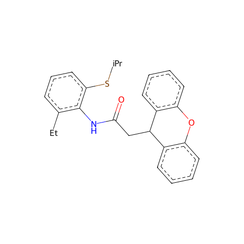 CCc1cccc(SC(C)C)c1NC(=O)CC1c2ccccc2Oc2ccccc21